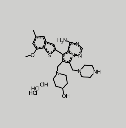 COc1cc(C)cc2cc(-c3c(CN4CCC(O)CC4)c(CN4CCNCC4)n4ncnc(N)c34)sc12.Cl.Cl.Cl